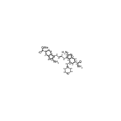 COC(=O)c1ccc2c(c1)nc(N)n2C/C=C/Cn1c(N)nc2cc(C(N)=O)cc(CN3CCOCC3)c21